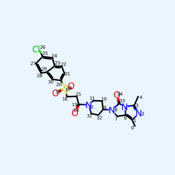 Cc1nc(C)n2c1CN(C1CCN(C(=O)CCS(=O)(=O)c3ccc4cc(Cl)ccc4c3)CC1)C2=O